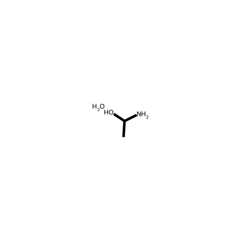 CC(N)O.O